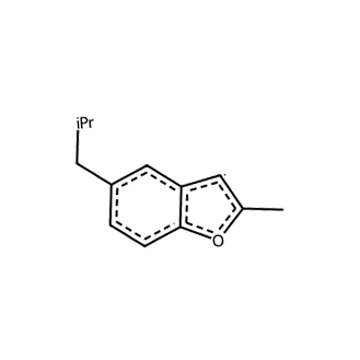 Cc1[c]c2cc(CC(C)C)ccc2o1